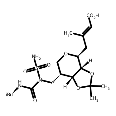 CC[C@H](C)NC(=O)N(C[C@@H]1CO[C@@H](C/C(C)=C/C(=O)O)[C@@H]2OC(C)(C)O[C@H]12)S(N)(=O)=O